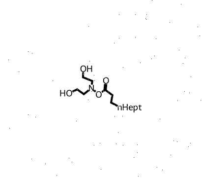 CCCCCCCCCC(=O)ON(CCO)CCO